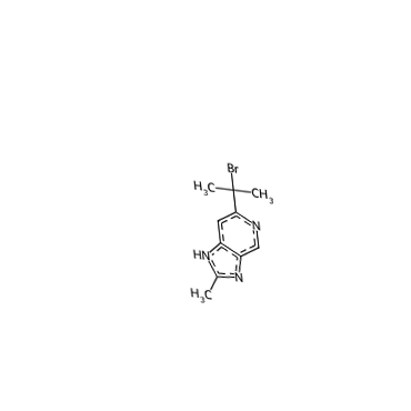 Cc1nc2cnc(C(C)(C)Br)cc2[nH]1